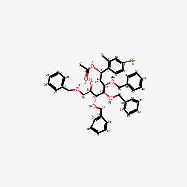 CC(=O)O[C@@H](c1ccc(Br)cc1C)[C@H]1O[C@H](COCc2ccccc2)[C@@H](OCc2ccccc2)[C@H](OCc2ccccc2)[C@@H]1OCc1ccccc1